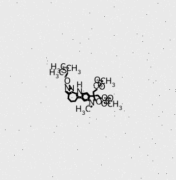 CCN1C(=O)C(CCOS(C)(=O)=O)(CCOS(C)(=O)=O)c2cc3[nH]c4c(c3cc21)CCCc1cn(COCC[Si](C)(C)C)nc1-4